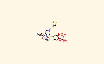 COC(=O)C1(N(OCc2ccccc2F)C(C)=O)CCN(CCc2ccsc2)CC1.O=C(O)C(=O)O